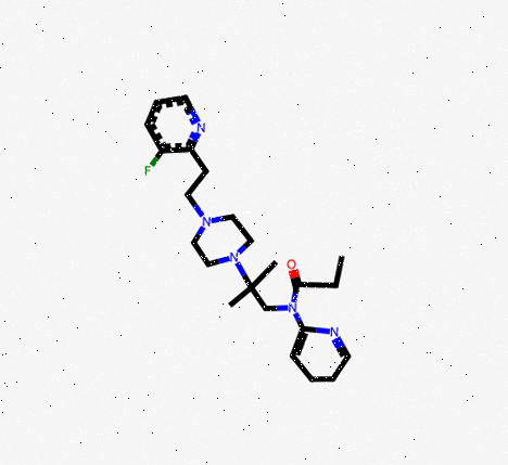 CCC(=O)N(CC(C)(C)N1CCN(CCc2ncccc2F)CC1)C1=CCCC=N1